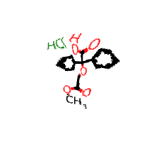 COC(=O)COC(C(=O)O)(c1ccccc1)c1ccccc1.Cl